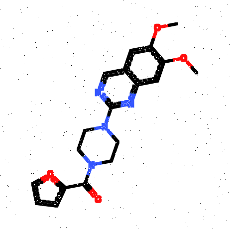 COc1cc2cnc(N3CCN(C(=O)c4ccco4)CC3)nc2cc1OC